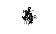 CN1CC(=O)N([C@H]2C[C@@H](n3cnc4c(N[C@H](CO)Cc5ccccc5)nc(N5CCC(NC(=O)Nc6ccc(S(N)(=O)=O)cc6)C5)nc43)[C@H](O)[C@@H]2O)C1=O